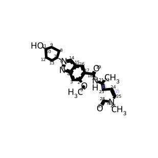 COc1cc2nn([C@H]3CC[C@@H](O)CC3)cc2cc1C(=O)N/C(C)=C/C=C\N(C)C=O